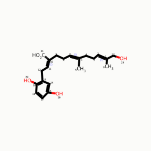 C/C(=C\CC/C(C)=C/CC/C(=C/Cc1cc(O)ccc1O)C(=O)O)CO